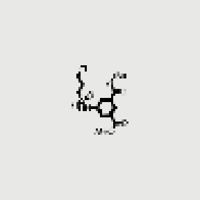 COC(=O)c1cc(NS(=O)(=O)CCCCl)cc(C(=O)OC(C)(C)C)c1